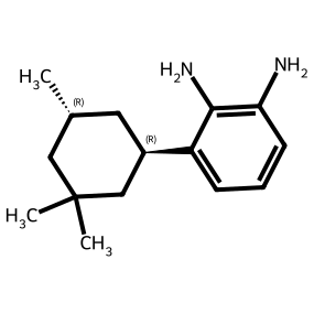 C[C@@H]1C[C@@H](c2cccc(N)c2N)CC(C)(C)C1